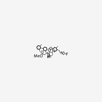 COC(=O)CC(NC(=O)C(CC(C)C)n1cc(CCN2CC(F)C2)c(C)cc1=O)c1cccc(-c2c(C)cccc2C)c1